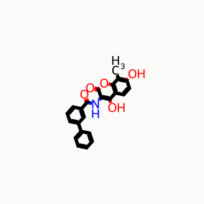 Cc1c(O)ccc2c(O)c(NC(=O)c3cccc(-c4ccccc4)c3)c(=O)oc12